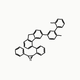 Cc1ccccc1-c1cc(-c2ccc3c(c2)-c2c(cccc2-c2ccccc2C2=NC2c2ccccc2)C3)ccc1C